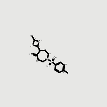 Cc1ccc(S(=O)(=O)N2CCC(=O)C(C3OC(C)O3)CC2)cc1